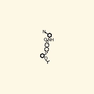 CC(C)COc1ccccc1CN1CCC2(CC1)CCN(C(=O)Nc1cccc(C#N)c1)CC2